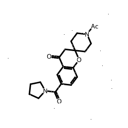 CC(=O)N1CCC2(CC1)CC(=O)c1cc(C(=O)N3CCCC3)ccc1O2